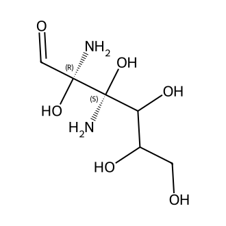 N[C@](O)(C=O)[C@@](N)(O)C(O)C(O)CO